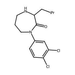 CC(C)CC1NCCCN(c2ccc(Cl)c(Cl)c2)C1=O